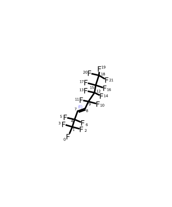 FC(F)(F)C(F)(F)/C=C/C(F)(F)C(F)(F)C(F)(F)C(F)(F)F